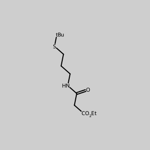 CCOC(=O)CC(=O)NCCCSC(C)(C)C